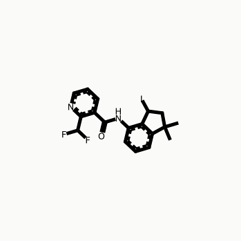 CC1(C)CC(I)c2c(NC(=O)c3cccnc3C(F)F)cccc21